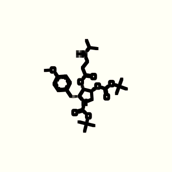 COc1ccc(C[C@@H]2[C@H](OC(=O)CCNC(C)C)[C@@H](OC(=O)OC(C)(C)C)CN2C(=O)OC(C)(C)C)cc1